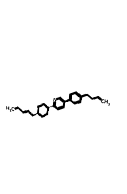 CCCCC[C@H]1CC[C@H](c2ccc(-c3ccc(CCCC)cc3)cn2)CC1